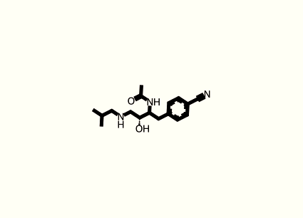 CC(=O)NC(Cc1ccc(C#N)cc1)[C@H](O)CNCC(C)C